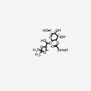 CCCCCCCC(=O)O[C@@H]1[C@H](OC(O)C2COC(C)(C)O2)O[C@H](CO)[C@@H](O)[C@@H]1O